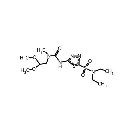 CCN(CC)S(=O)(=O)c1nnc(NC(=O)N(C)CC(OC)OC)s1